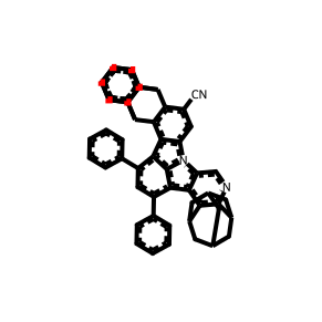 N#Cc1cc2c(c3c1C1c4ccccc4C3c3ccccc31)c1c(-c3ccccc3)cc(-c3ccccc3)c3c4c5c(ncc4n2c31)C1CC2CC(C1)CC5C2